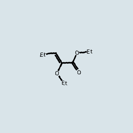 CCC=C(OCC)C(=O)OCC